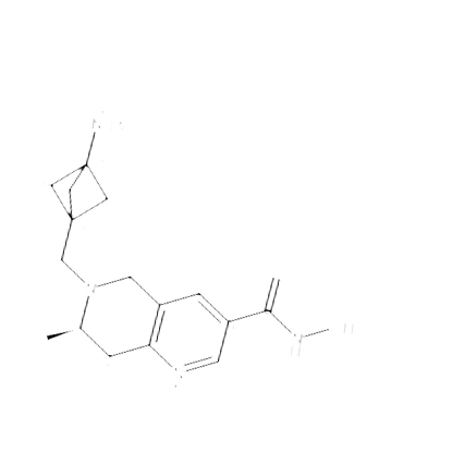 CC[C@@H]1Cc2ncc(C(=O)NO)cc2CN1CC12CC(NC(C)=O)(C1)C2